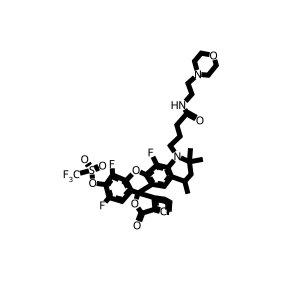 CC1CC(C)(C)N(CCCC(=O)NCCN2CCOCC2)c2c1cc1c(c2F)Oc2c(cc(F)c(OS(=O)(=O)C(F)(F)F)c2F)C12OC(=O)c1ccccc12